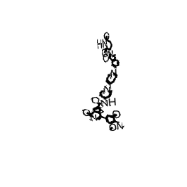 COc1cc(-c2cn(C)c(=O)c3cc(C(=O)NC4CCN(C5CCN(c6ccc7c(c6)C(=O)N(C6CCC(=O)NC6=O)C7)CC5)CC4)sc23)cc(OC)c1CN(C)C